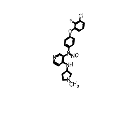 CN1CCC(Nc2ccncc2N(N=O)c2ccc(Oc3cccc(Cl)c3F)cc2)C1